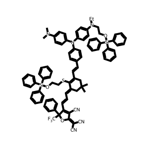 CCN(CCO[Si](c1ccccc1)(c1ccccc1)c1ccccc1)c1ccc(N(c2ccc(/C=C/C3=C(SCCO[Si](c4ccccc4)(c4ccccc4)c4ccccc4)C(=C/C=C/C4=C(C#N)C(=C(C#N)C#N)OC4(c4ccccc4)C(F)(F)F)/CC(C)(C)C3)cc2)c2ccc(N(C)C)cc2)cc1